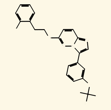 FC(F)(F)Oc1cccc(-c2cnc3ccc(OCCc4ccccc4Cl)nn23)c1